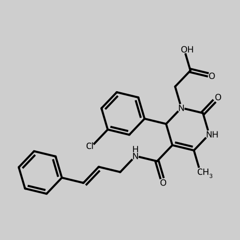 CC1=C(C(=O)NCC=Cc2ccccc2)C(c2cccc(Cl)c2)N(CC(=O)O)C(=O)N1